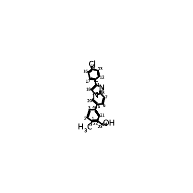 Cc1ccc(-c2ccc3nc(-c4ccc(Cl)cc4)cn3c2)cc1CO